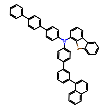 c1ccc(-c2ccc(-c3ccc(N(c4ccc(-c5cccc(-c6cccc7ccccc67)c5)cc4)c4cccc5c4sc4ccccc45)cc3)cc2)cc1